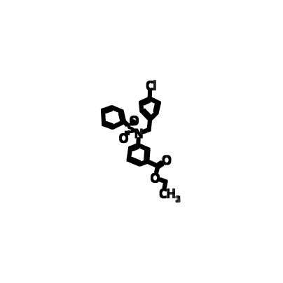 CCOC(=O)c1cccc(N(Cc2ccc(Cl)cc2)S(=O)(=O)c2ccccc2)c1